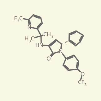 CC(C)(NC1=C[C@H](c2ccccc2)N(c2ccc(OC(F)(F)F)cc2)C1=O)c1cccc(C(F)(F)F)n1